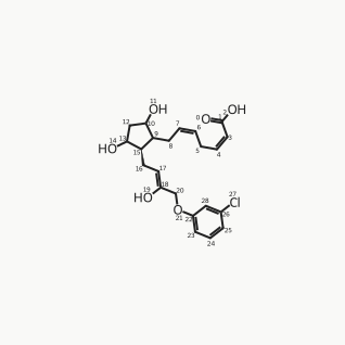 O=C(O)/C=C\C/C=C\CC1C(O)CC(O)[C@@H]1C/C=C(\O)COc1cccc(Cl)c1